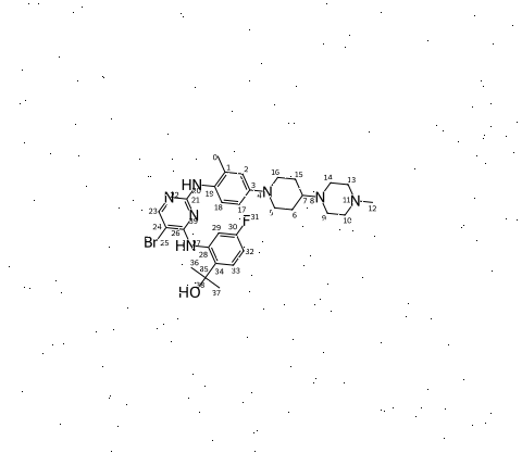 Cc1cc(N2CCC(N3CCN(C)CC3)CC2)ccc1Nc1ncc(Br)c(Nc2cc(F)ccc2C(C)(C)O)n1